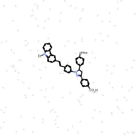 CCCCCCc1ccc(C2CC(c3ccc(C(=O)O)cc3)=NN2c2ccc(/C=C/c3ccc4c(c3)c3ccccc3n4CC)cc2)cc1